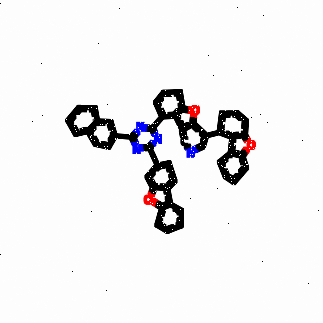 c1ccc2cc(-c3nc(-c4ccc5c(c4)oc4ccccc45)nc(-c4cccc5oc6c(-c7cccc8oc9ccccc9c78)cncc6c45)n3)ccc2c1